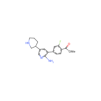 COC(=O)c1ccc(-c2cc(C3CCCNC3)cnc2N)cc1F